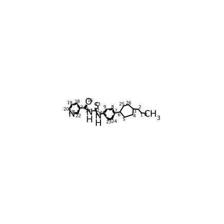 CCCC1CCC(c2ccc(NC(=S)NC(=O)c3cccnc3)cc2)CC1